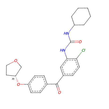 O=C(Nc1cc(C(=O)c2ccc(O[C@@H]3CCOC3)cc2)ccc1Cl)NC1CCCCC1